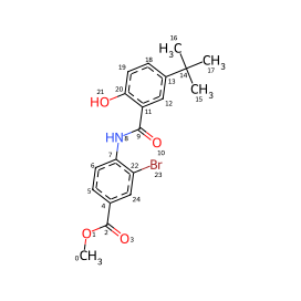 COC(=O)c1ccc(NC(=O)c2cc(C(C)(C)C)ccc2O)c(Br)c1